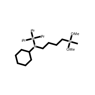 CO[Si](C)(CCCCN(C1CCCCC1)[Si](C(C)C)(C(C)C)C(C)C)OC